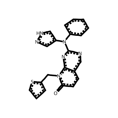 O=c1ccc2cnc(N(c3ccccc3)c3cn[nH]c3)nc2n1Cc1cccs1